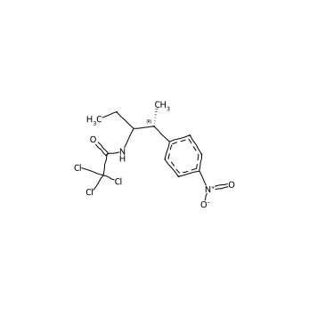 CCC(NC(=O)C(Cl)(Cl)Cl)[C@H](C)c1ccc([N+](=O)[O-])cc1